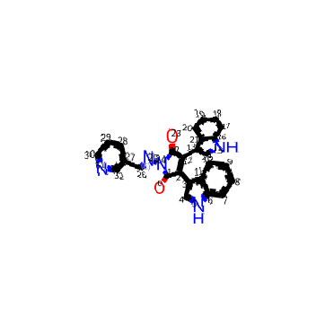 O=C1C(c2c[nH]c3ccccc23)=C(c2c[nH]c3ccccc23)C(=O)N1/N=C/c1cccnc1